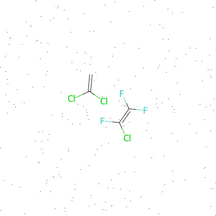 C=C(Cl)Cl.FC(F)=C(F)Cl